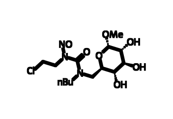 CCCCN(C[C@H]1O[C@H](OC)[C@H](O)[C@@H](O)[C@@H]1O)C(=O)N(CCCl)N=O